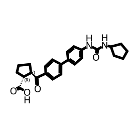 O=C(Nc1ccc(-c2ccc(C(=O)[C@@H]3CCC[C@H]3C(=O)O)cc2)cc1)NC1CCCC1